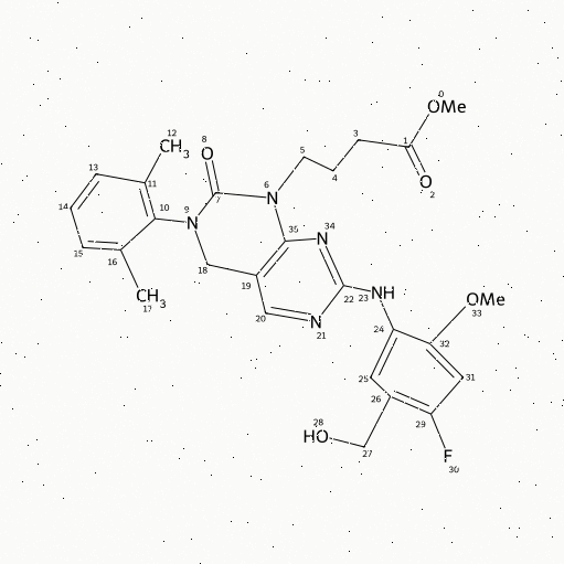 COC(=O)CCCN1C(=O)N(c2c(C)cccc2C)Cc2cnc(Nc3cc(CO)c(F)cc3OC)nc21